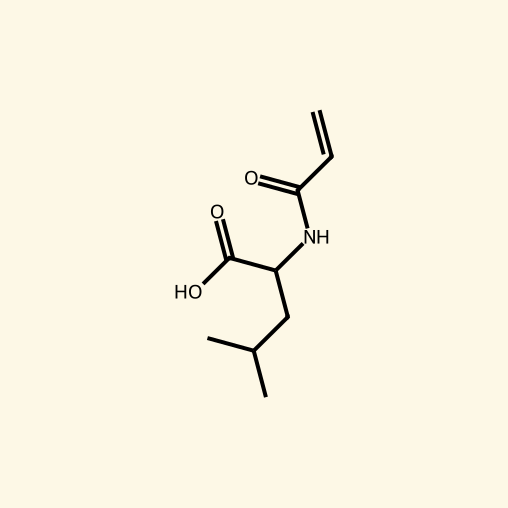 C=CC(=O)NC(CC(C)C)C(=O)O